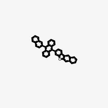 c1ccc2cc(-c3c4ccccc4c(-c4ccc5c(c4)oc4cc6ccccc6cc45)c4ccccc34)ccc2c1